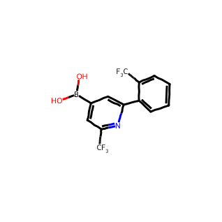 OB(O)c1cc(-c2ccccc2C(F)(F)F)nc(C(F)(F)F)c1